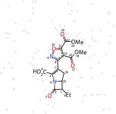 CCC1C(=O)N2C(C(=O)O)=C(c3noc(C(=O)OC)c3C(=O)OC)CC12